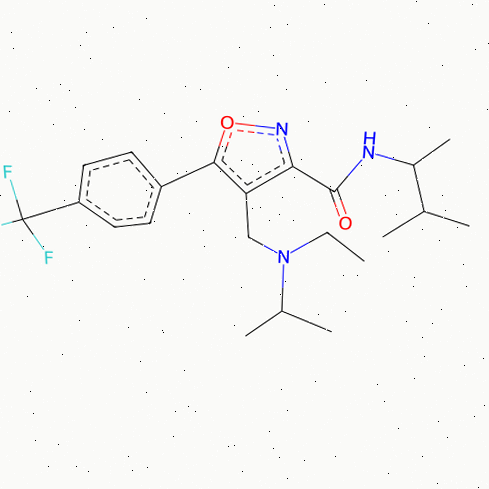 CCN(Cc1c(C(=O)NC(C)C(C)C)noc1-c1ccc(C(F)(F)F)cc1)C(C)C